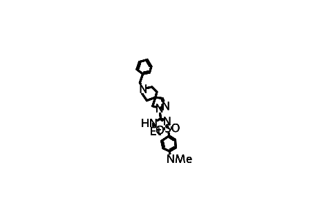 CCN/C(=N\S(=O)(=O)c1ccc(NC)cc1)N1CC2(C=N1)CCN(Cc1ccccc1)CC2